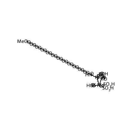 COCCOCCOCCOCCOCCOCCOCCOCCOCCOCCOCCOCCOCCOCCOCCOCCOCCOCCOCCOCCOCCOCCOCCOCCNC(=O)CCCCC[N+]1=C(C=CC=CC=C2N(CCCSOOO)c3ccc4c(S(=O)(=O)O)cc(S(=O)(=O)O)cc4c3C2(C)CCCCCC(=O)ON2C(=O)CCC2=O)C(C)(C)c2cc(SOOO)ccc21